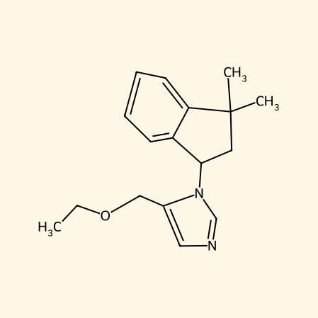 CCOCc1cncn1C1CC(C)(C)c2ccccc21